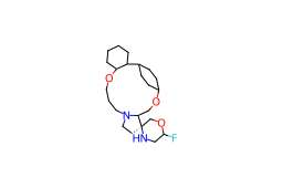 FC1CN[C@]2(CCN3CCCOC4CCCCC4C4CCC(CC4)OCC32)CO1